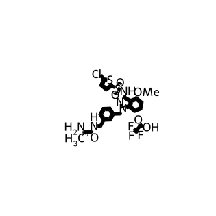 COc1cccc2c1c(NS(=O)(=O)c1ccc(Cl)s1)nn2Cc1cccc(CNC(=O)[C@@H](C)N)c1.O=C(O)C(F)(F)F